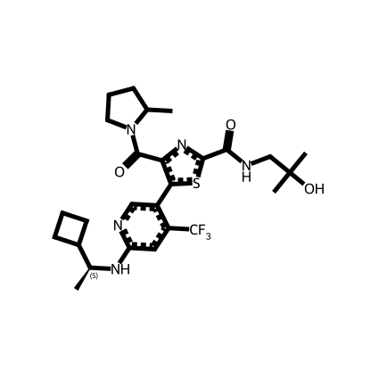 CC1CCCN1C(=O)c1nc(C(=O)NCC(C)(C)O)sc1-c1cnc(N[C@@H](C)C2CCC2)cc1C(F)(F)F